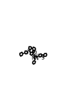 c1ccc(-c2ccc(N(c3ccccc3)c3ccc(-c4nc(-c5ccccc5)nc(-c5ccc6c(c5)sc5ccccc56)n4)c4oc5ccccc5c34)cc2)cc1